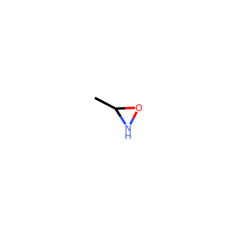 CC1NO1